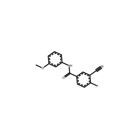 COc1cccc(NC(=O)c2ccc(F)c(C#N)c2)c1